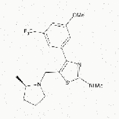 COc1cc(-c2nc(NC(C)=O)sc2CN2CCC[C@H]2C)cc(C(F)(F)F)c1